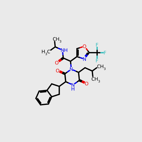 CC(C)CC1C(=O)NC(C2Cc3ccccc3C2)C(=O)N1C(C(=O)NC(C)C)c1coc(C(F)(F)F)n1